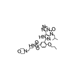 CCCOc1ccc(S(=O)(=O)NCCCN2CCOCC2)cc1-c1nc2c([nH]1)c1nncn1c(=O)n2CC(C)C